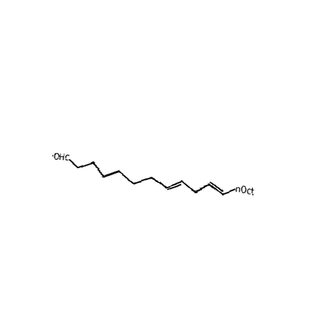 CCCCCCCCC=CCC=CCCCCCC[C]=O